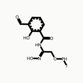 O=Cc1cccc(C(=O)N/C(COPI)=N\O)c1O